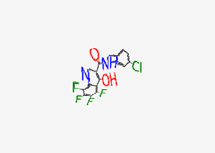 O=C(NCc1ccc(Cl)cc1)c1cnc2c(F)c(F)c(F)c(F)c2c1O